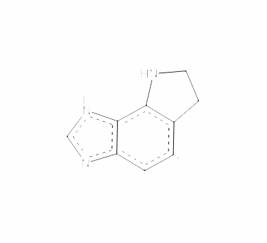 c1nc2ccc3c(c2[nH]1)NCC3